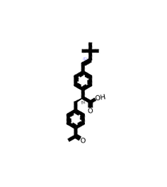 CC(=O)c1ccc(C[C@H](C(=O)O)c2ccc(/C=C/C(C)(C)C)cc2)cc1